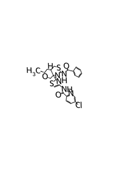 C[C@H]1C[C@H]2CSC(NC(=O)c3ccccc3)=NC2(c2nc(NC(=O)c3ccc(Cl)cn3)cs2)CO1